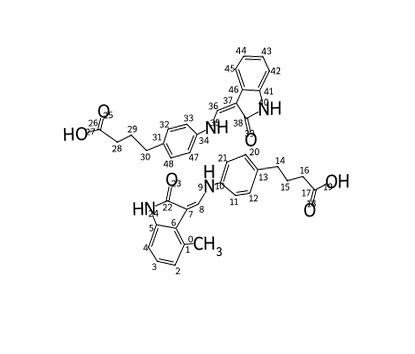 Cc1cccc2c1C(=CNc1ccc(CCCC(=O)O)cc1)C(=O)N2.O=C(O)CCCc1ccc(NC=C2C(=O)Nc3ccccc32)cc1